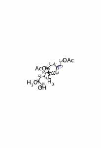 CC(=O)OC/C=C1\CC[C@@H](OC(C)=O)[C@](C)(CCCC(C)CO)OC1